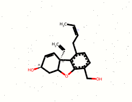 C=C[C@@]12C=C[C@H](O)CC1Oc1c(CO)ccc(C/C=C\C)c12